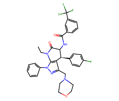 CCN1C(=O)C(NC(=O)c2cccc(C(F)(F)F)c2)[C@@H](c2ccc(F)cc2)c2c(CN3CCOCC3)nn(-c3ccccc3)c21